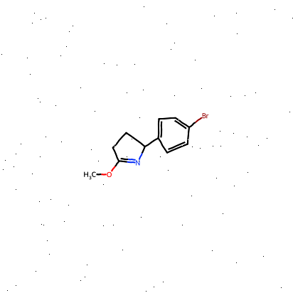 COC1=NC(c2ccc(Br)cc2)CC1